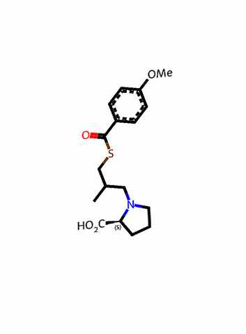 COc1ccc(C(=O)SCC(C)CN2CCC[C@H]2C(=O)O)cc1